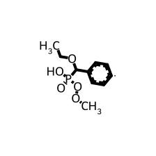 CCOC(c1cc[c]cc1)P(=O)(O)OOC